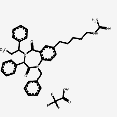 N=C(N)NCCCCCc1ccc2c(c1)C(=O)N(C(CC(=O)O)c1ccccc1)C(c1ccccc1)C(=O)N2Cc1ccccc1.O=C(O)C(F)(F)F